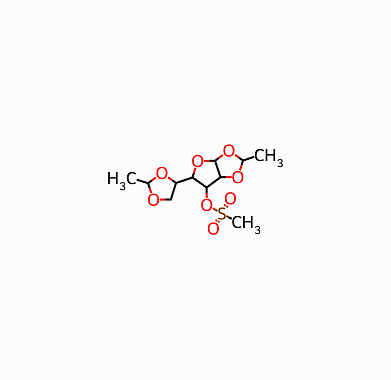 CC1OCC(C2OC3OC(C)OC3C2OS(C)(=O)=O)O1